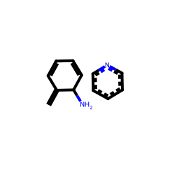 C=C1C=CC=CC1N.c1ccncc1